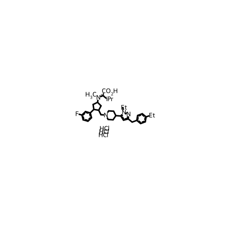 CCc1ccc(Cc2cc(C3CCN(CC4CC(N(C)[C@@H](C(=O)O)C(C)C)CC4c4cccc(F)c4)CC3)n(CC)n2)cc1.Cl.Cl.Cl